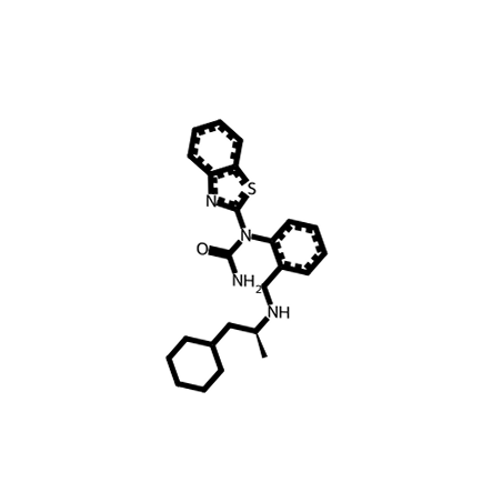 C[C@@H](CC1CCCCC1)NCc1ccccc1N(C(N)=O)c1nc2ccccc2s1